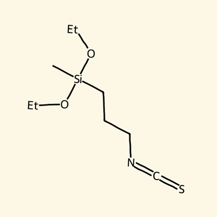 CCO[Si](C)(CCCN=C=S)OCC